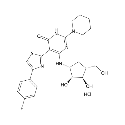 Cl.O=c1[nH]c(N2CCCCC2)nc(N[C@@H]2C[C@H](CO)[C@@H](O)[C@H]2O)c1-c1nc(-c2ccc(F)cc2)cs1